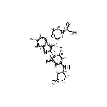 Cc1ccn2c(C[C@H]3CN(C(=O)O)CCO3)c(-c3c(F)cc(NC4CCC(=O)C4)cc3F)nc2c1